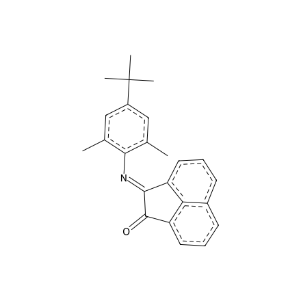 Cc1cc(C(C)(C)C)cc(C)c1/N=C1/C(=O)c2cccc3cccc1c23